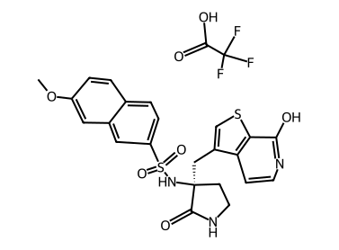 COc1ccc2ccc(S(=O)(=O)N[C@@]3(Cc4csc5c(O)nccc45)CCNC3=O)cc2c1.O=C(O)C(F)(F)F